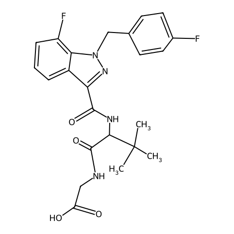 CC(C)(C)C(NC(=O)c1nn(Cc2ccc(F)cc2)c2c(F)cccc12)C(=O)NCC(=O)O